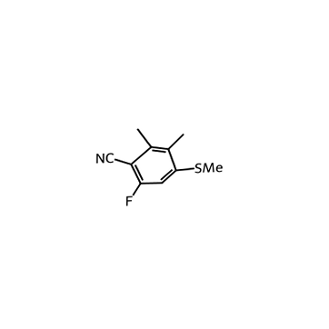 CSc1cc(F)c(C#N)c(C)c1C